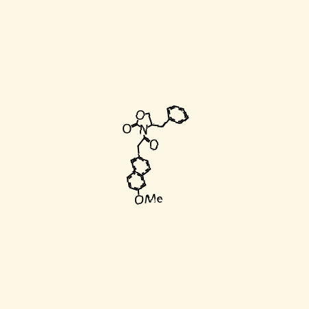 COc1ccc2cc(CC(=O)N3C(=O)OCC3Cc3ccccc3)ccc2c1